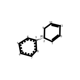 [C]1=C[C@H](c2c[c]ccc2)CC=C1